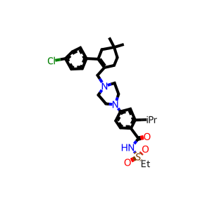 CCS(=O)(=O)NC(=O)c1ccc(N2CCN(CC3=C(c4ccc(Cl)cc4)CC(C)(C)CC3)CC2)cc1C(C)C